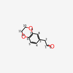 O=[C]Cc1ccc2c(c1)OCCO2